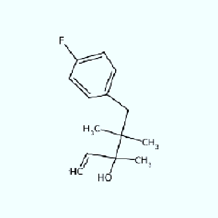 [CH]=CC(C)(O)C(C)(C)Cc1ccc(F)cc1